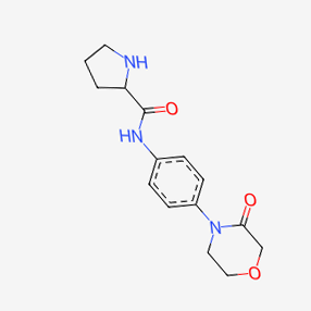 O=C(Nc1ccc(N2CCOCC2=O)cc1)C1CCCN1